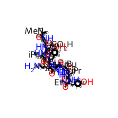 CCNC(=O)[C@H](Cc1ccc(O)cc1)NC(=O)[C@H](CC(C)C)NC(=O)[C@@H](NC(=O)[C@H](CC)NC(=O)[C@H](CCCCN)NC(=O)[C@H](Cc1ccc(O)cc1)NC(=O)[C@H](CC(C)C)NC(=O)[C@H](CCC(=O)O)NC(=O)CNC(=O)[C@H](C)NC)[C@@H](C)CC